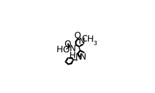 Cn1cc(-c2cnn(Cc3ccccc3)c2)c(NC(=O)O)cc1=O